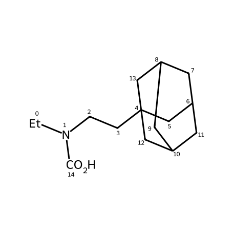 CCN(CCC12CC3CC(CC(C3)C1)C2)C(=O)O